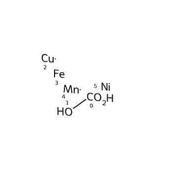 O=C(O)O.[Cu].[Fe].[Mn].[Ni]